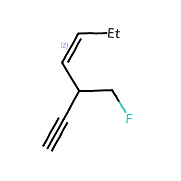 C#CC(/C=C\CC)CF